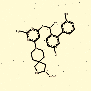 CCOC(=O)[C@@H]1CC2(CCN(c3cc(O[C@H](c4ccc(Cl)cc4-c4cccc(O)c4)C(F)(F)F)nc(N)n3)CC2)CN1